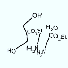 CCOC(N)=O.CCOC(N)=O.O.OCCO